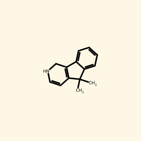 CC1(C)C2=C(CNC=C2)c2ccccc21